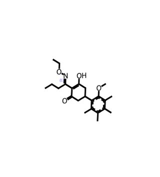 CCC/C(=N\OCC)C1=C(O)CC(c2c(C)c(C)c(C)c(C)c2OC)CC1=O